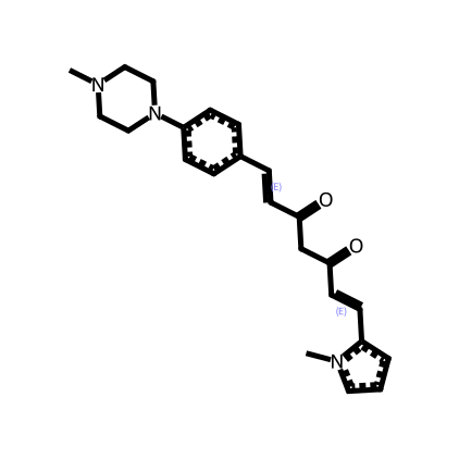 CN1CCN(c2ccc(/C=C/C(=O)CC(=O)/C=C/c3cccn3C)cc2)CC1